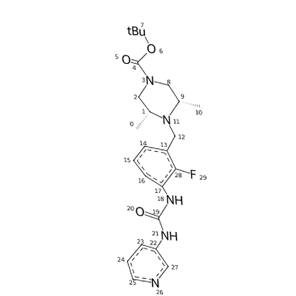 C[C@@H]1CN(C(=O)OC(C)(C)C)C[C@H](C)N1Cc1cccc(NC(=O)Nc2cccnc2)c1F